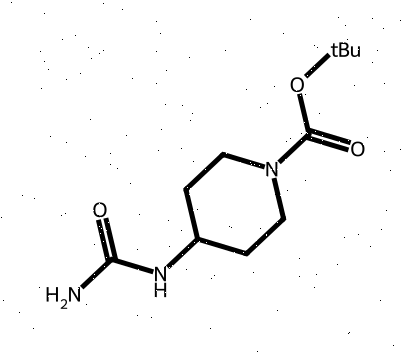 CC(C)(C)OC(=O)N1CCC(NC(N)=O)CC1